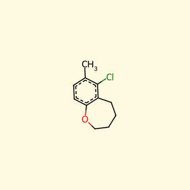 Cc1ccc2c(c1Cl)CCCCO2